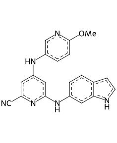 COc1ccc(Nc2cc(C#N)nc(Nc3ccc4cc[nH]c4c3)c2)cn1